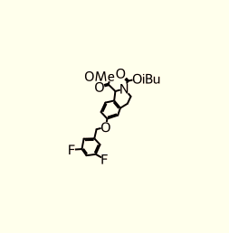 COC(=O)C1c2ccc(OCc3cc(F)cc(F)c3)cc2CCN1C(=O)OCC(C)C